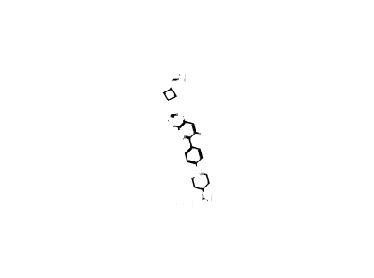 O=CNC1CCN(c2ccc(-c3nc4nc(O[C@H]5C[C@@H](C(=O)N=O)C5)[nH]c4cc3Cl)cc2)CC1